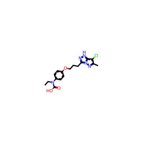 CCN(C(=O)O)c1ccc(OCCCc2n[nH]c3c(Cl)c(C)nn23)cc1